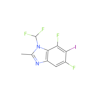 Cc1nc2cc(F)c(I)c(F)c2n1C(F)F